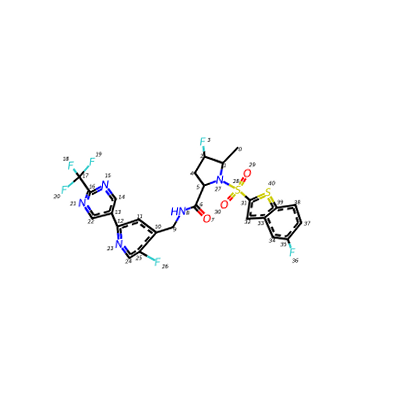 CC1C(F)CC(C(=O)NCc2cc(-c3cnc(C(F)(F)F)nc3)ncc2F)N1S(=O)(=O)c1cc2cc(F)ccc2s1